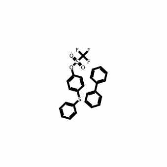 O=S(=O)(Oc1ccc(Sc2ccccc2)cc1)C(F)(F)F.c1ccc(-c2ccccc2)cc1